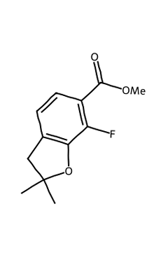 COC(=O)c1ccc2c(c1F)OC(C)(C)C2